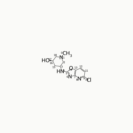 CN1CC(Nc2nc3nc(Cl)ccc3o2)C[C@@H](O)C1